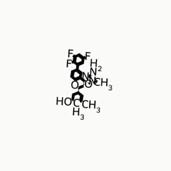 CC(C)=CC(CCO)[C@H]1C[C@@]2(N=C(N)N(C)O2)c2cc(-c3cc(F)cc(F)c3F)ccc2O1